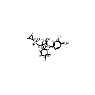 N#Cc1ccc(NC(=O)C(O)(CS(=O)(=O)C2CC2)c2ccc(F)c(F)c2)cc1Cl